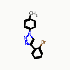 Cc1ccc(-n2cc(-c3ccccc3Br)nn2)cc1